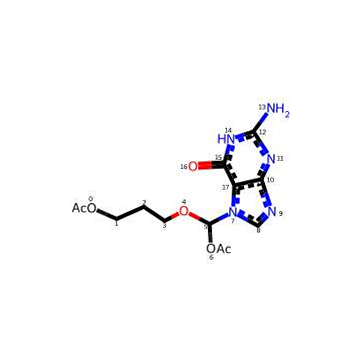 CC(=O)OCCCOC(OC(C)=O)n1cnc2nc(N)[nH]c(=O)c21